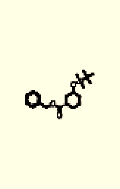 CC(C)(C)[Si](C)(C)O[C@H]1C=CC[C@@H](C(=O)OCc2ccccc2)C1